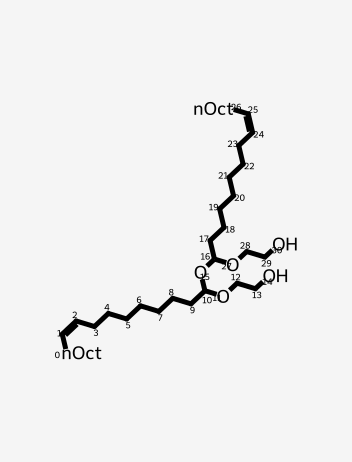 CCCCCCCC/C=C\CCCCCCCC(OCCO)OC(CCCCCCC/C=C\CCCCCCCC)OCCO